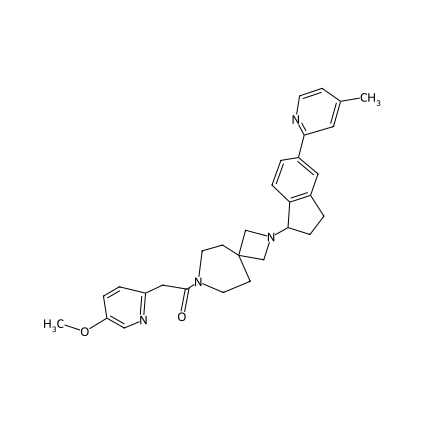 COc1ccc(CC(=O)N2CCC3(CC2)CN(C2CCc4cc(-c5cc(C)ccn5)ccc42)C3)nc1